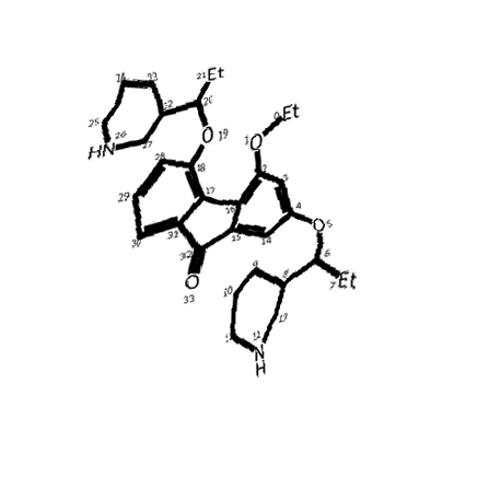 CCOc1cc(OC(CC)C2CCCNC2)cc2c1-c1c(OC(CC)C3CCCNC3)cccc1C2=O